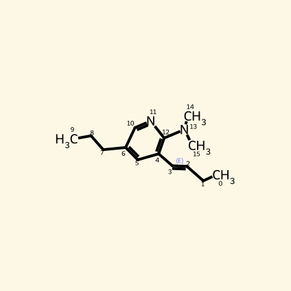 CC/C=C/c1cc(CCC)cnc1N(C)C